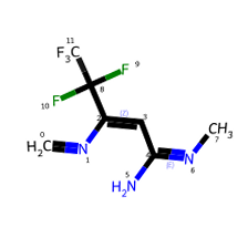 C=N/C(=C\C(N)=N/C)C(F)(F)C(F)(F)F